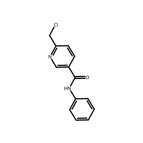 O=C(Nc1ccccc1)c1ccc(CCl)nc1